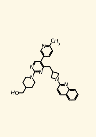 Cc1ccc(-c2cnc(N3CCC(CO)CC3)nc2CC2CN(c3ccc4ccccc4n3)C2)cn1